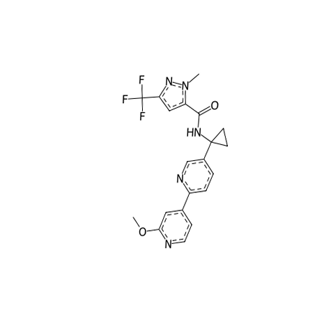 COc1cc(-c2ccc(C3(NC(=O)c4cc(C(F)(F)F)nn4C)CC3)cn2)ccn1